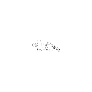 COC(=O)c1cc(C(=O)CNC(C)(C)Cc2c[nH]c3ccccc23)ccc1OC(=O)c1cc(C(=O)C(C)N2CCN(c3nc(C)cs3)CC2)ccc1OC